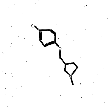 CN1CCC(COc2ccc(Cl)cc2)C1